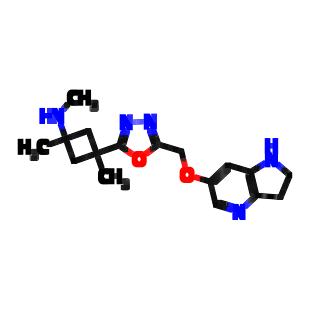 CNC1(C)CC(C)(c2nnc(COc3cnc4c(c3)NCC4)o2)C1